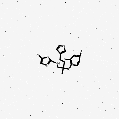 CC(CCc1ccsc1)(CNc1ncc(Cl)s1)Oc1ccc(F)cc1F